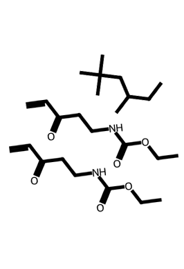 C=CC(=O)CCNC(=O)OCC.C=CC(=O)CCNC(=O)OCC.CCC(C)CC(C)(C)C